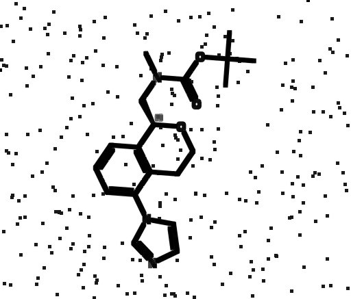 CN(C[C@H]1OCCc2c1cccc2-n1ccnc1)C(=O)OC(C)(C)C